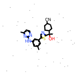 Cc1cc(Nc2nccc(C)n2)cc(-c2cnc(C(C)(O)C3CCC(C#N)CC3)s2)c1